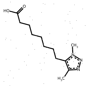 Cc1nnn(C)c1CCCCCCCC(=O)O